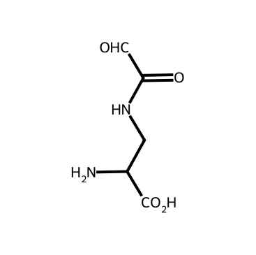 NC(CNC(=O)C=O)C(=O)O